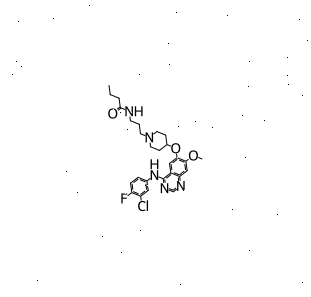 CCCC(=O)NCCCN1CCC(Oc2cc3c(Nc4ccc(F)c(Cl)c4)ncnc3cc2OC)CC1